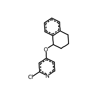 Clc1cc(OC2CCCc3ccccc32)ccn1